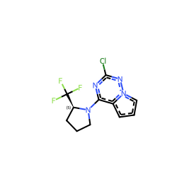 FC(F)(F)[C@@H]1CCCN1c1nc(Cl)nn2cccc12